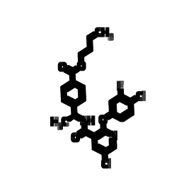 CCCCOC(=O)c1ccc([C@H](C)NC(=O)c2cc(Cl)cnc2Oc2ccc(Cl)c(F)c2)cc1